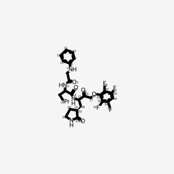 CC(C)CC(NC(=O)CNc1ccccc1)C(=O)NC(C[C@@H]1CCNC1=O)C(=O)COc1c(F)c(F)cc(F)c1F